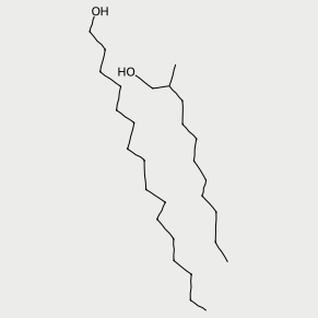 CCCCCCCCCC(C)CO.CCCCCCCCCCCCCCCCO